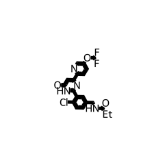 CCC(=O)NCc1ccc(Cl)c(-c2nc(-c3ccc(OC(F)F)cn3)cc(=O)[nH]2)c1